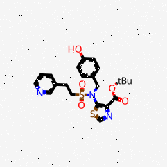 CC(C)(C)OC(=O)c1ncsc1N(Cc1ccc(O)cc1)S(=O)(=O)CCc1cccnc1